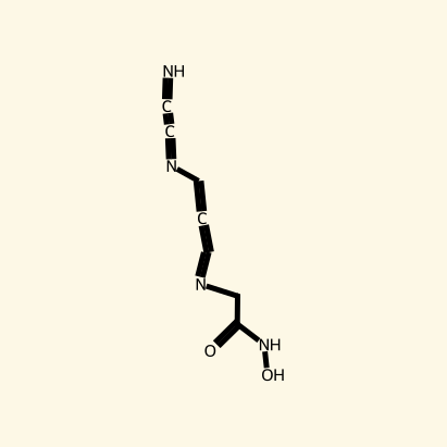 N=C=C=NC=C=C=NCC(=O)NO